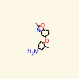 Cc1nc2cc(Oc3ccc(N)cc3C)ccc2o1